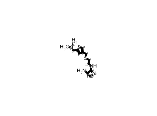 CN(C)Cc1cc(CSCCNc2nonc2N)cs1